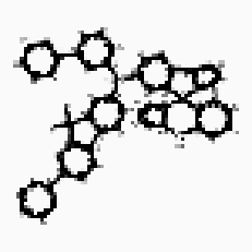 CC1(C)c2cc(-c3ccccc3)ccc2-c2ccc(N(c3cccc(-c4ccccc4)c3)c3ccc4c(c3)C3(c5ccccc5Oc5ccccc53)c3ccccc3-4)cc21